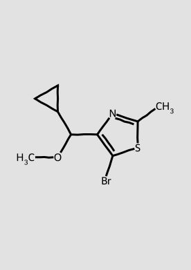 COC(c1nc(C)sc1Br)C1CC1